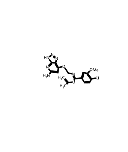 C=C(C)O/C(=N\COc1cc(N)nc2[nH]nnc12)c1ccc(Cl)c(OC)c1